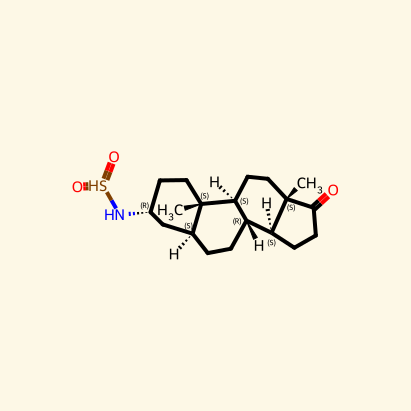 C[C@]12CC[C@@H](N[SH](=O)=O)C[C@@H]1CC[C@@H]1[C@@H]2CC[C@]2(C)C(=O)CC[C@@H]12